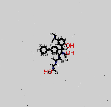 C/C=C(\C)c1ccc(O)c(C(C)(C(/C=C(C)/C(C)=C/C=C(\C)O)=C(/C)O)c2ccc(-c3ccccc3)cc2)c1